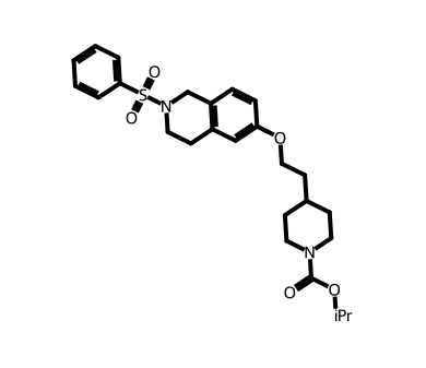 CC(C)OC(=O)N1CCC(CCOc2ccc3c(c2)CCN(S(=O)(=O)c2ccccc2)C3)CC1